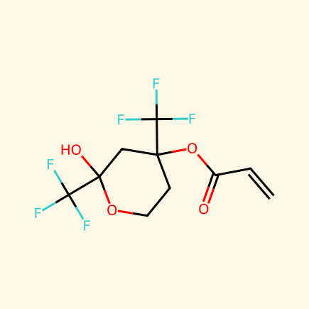 C=CC(=O)OC1(C(F)(F)F)CCOC(O)(C(F)(F)F)C1